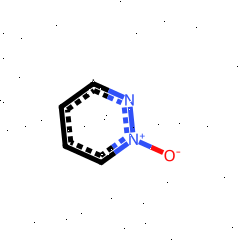 [O-][n+]1ccc[c]n1